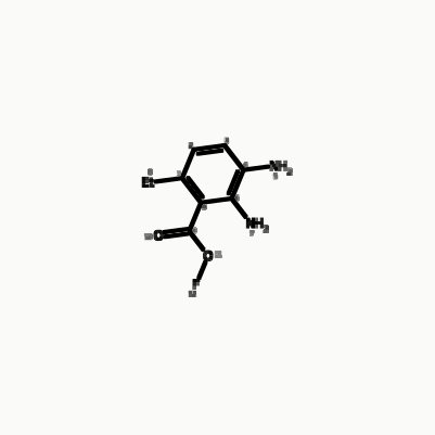 CCc1ccc(N)c(N)c1C(=O)OF